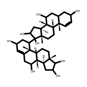 C[C@]12C=CC(O)CC1CC(O)[C@@H]1[C@H]2CC[C@@]2(C)[C@H]1CC(O)C2(O)C1CC(O)C=C2CC(O)[C@@H]3[C@@H](CC[C@]4(C)C(O)C(O)C[C@@H]34)[C@]21C